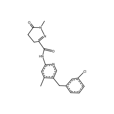 Cc1cc(NC(=O)C2=NN(C)C(=O)CC2)ncc1Cc1cccc(Cl)c1